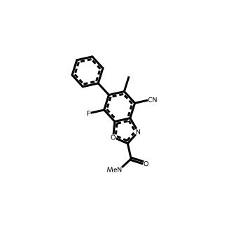 CNC(=O)c1nc2c(C#N)c(C)c(-c3ccccc3)c(F)c2o1